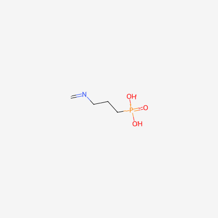 C=NCCCP(=O)(O)O